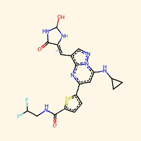 O=C1NC(O)N/C1=C\c1cnn2c(NC3CC3)cc(-c3ccc(C(=O)NCC(F)F)s3)nc12